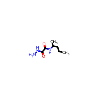 CCCC(C)NC(=O)C(=O)NN